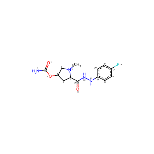 CN1CC(OC(N)=O)CC1C(=O)NNc1ccc(F)cc1